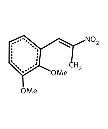 COc1cccc(C=C(C)[N+](=O)[O-])c1OC